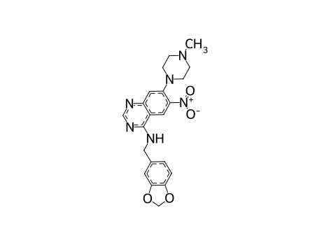 CN1CCN(c2cc3ncnc(NCc4ccc5c(c4)OCO5)c3cc2[N+](=O)[O-])CC1